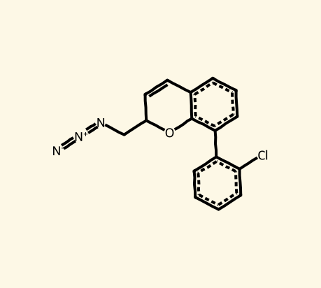 [N-]=[N+]=NCC1C=Cc2cccc(-c3ccccc3Cl)c2O1